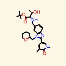 Cc1cc(-c2nc3ccc(CNC(C(=O)OC(C)(C)C)[C@@H](C)O)cc3n2CC2CCCCO2)cn(C)c1=O